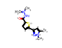 CN(C)NC(=O)c1ccc(-c2cc(C(F)(F)F)n(C)n2)s1